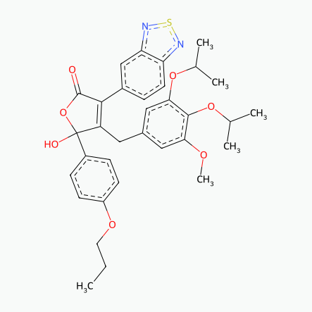 CCCOc1ccc(C2(O)OC(=O)C(c3ccc4nsnc4c3)=C2Cc2cc(OC)c(OC(C)C)c(OC(C)C)c2)cc1